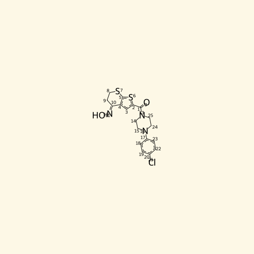 O=C(c1cc2c(s1)SCCC2=NO)N1CCN(c2ccc(Cl)cc2)CC1